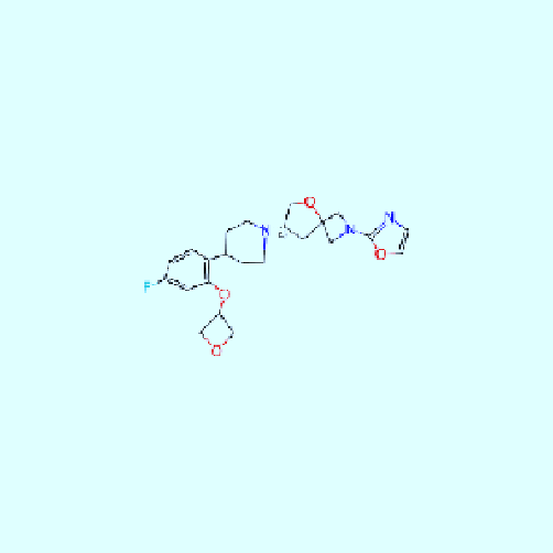 Fc1ccc(C2CCN([C@@H]3COC4(C3)CN(c3ncco3)C4)CC2)c(OC2COC2)c1